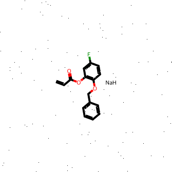 C=CC(=O)Oc1cc(F)ccc1OCc1ccccc1.[NaH]